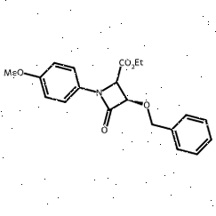 CCOC(=O)C1[C@@H](OCc2ccccc2)C(=O)N1c1ccc(OC)cc1